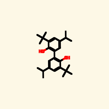 CC(C)c1cc(-c2cc(C(C)C)cc(C(C)(C)C)c2O)c(O)c(C(C)(C)C)c1